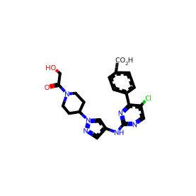 O=C(O)c1ccc(-c2nc(Nc3cnn(C4CCN(C(=O)CO)CC4)c3)ncc2Cl)cc1